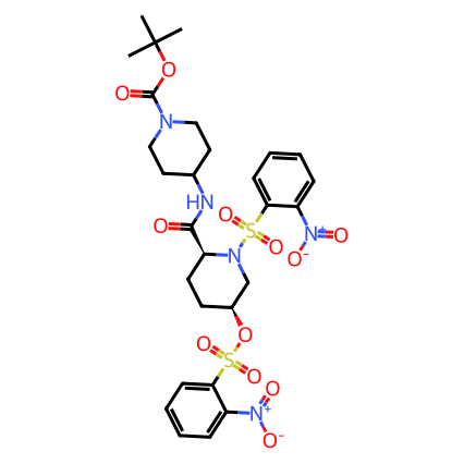 CC(C)(C)OC(=O)N1CCC(NC(=O)[C@@H]2CC[C@H](OS(=O)(=O)c3ccccc3[N+](=O)[O-])CN2S(=O)(=O)c2ccccc2[N+](=O)[O-])CC1